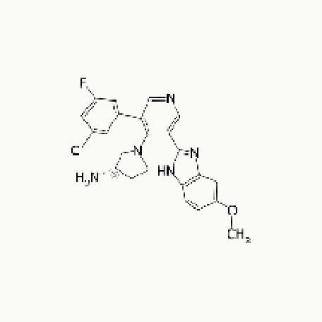 COc1ccc2[nH]c(-c3cncc(-c4cc(F)cc(Cl)c4)c3N3CC[C@H](N)C3)nc2c1